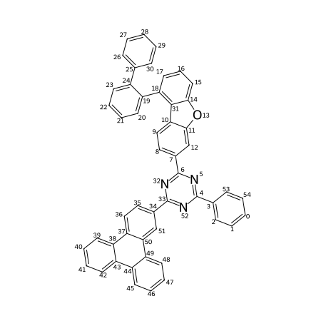 c1ccc(-c2nc(-c3ccc4c(c3)oc3cccc(-c5ccccc5-c5ccccc5)c34)nc(-c3ccc4c5ccccc5c5ccccc5c4c3)n2)cc1